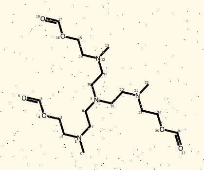 CN(CCOC=O)CCN(CCN(C)CCOC=O)CCN(C)CCOC=O